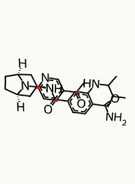 CC(=O)c1ccc(N2[C@@H]3CC[C@H]2C[C@@H](NC(=O)c2ccc(C(N)=O)c(NC(C)C(C)C)c2)C3)nc1